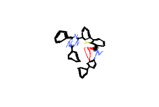 c1ccc(-c2ccc3nc(-c4cccc5c4sc4c(-c6nc(-c7ccccc7)nc(-c7ccccc7)n6)cccc45)oc3c2)cc1